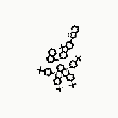 CC(C)(C)c1ccc(N2c3ccc(C(C)(C)C)cc3B3c4cc(C(C)(C)C)ccc4N(c4ccc(C(C)(C)C)cc4)c4cc(N(c5ccc6c(c5)C(C)(C)c5cc(-c7cc8ccccc8o7)ccc5-6)c5cccc6ccccc56)cc2c43)cc1